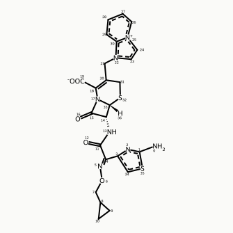 Nc1nc(/C(=N\OCC2CC2)C(=O)N[C@@H]2C(=O)N3C(C(=O)[O-])=C(Cn4cc[n+]5ccccc45)CS[C@H]23)cs1